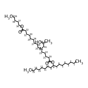 CCCCCCCCC(CCCCCCCC)OC(=O)CCCCN(CCCCCCCCC(=O)OCCCCC)C[C@H](C)O